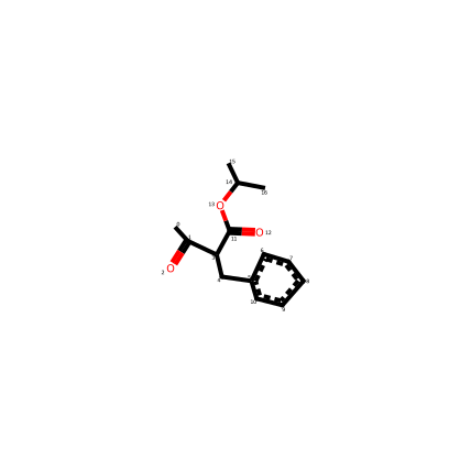 CC(=O)C(Cc1ccccc1)C(=O)OC(C)C